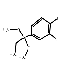 CC[Si](OC)(OC)c1ccc(F)c(F)c1